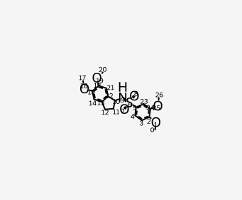 COc1ccc(S(=O)(=O)NC2CCc3cc(OC)c(OC)cc32)cc1OC